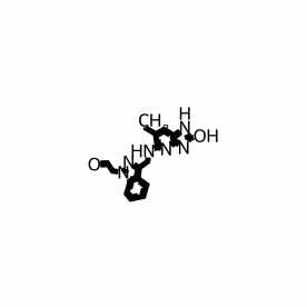 CCc1cc2[nH]c(O)nc2nc1NCc1nn(CC=O)c2ccccc12